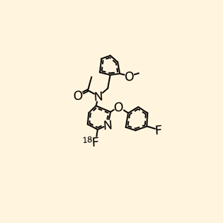 COc1ccccc1CN(C(C)=O)c1ccc([18F])nc1Oc1ccc(F)cc1